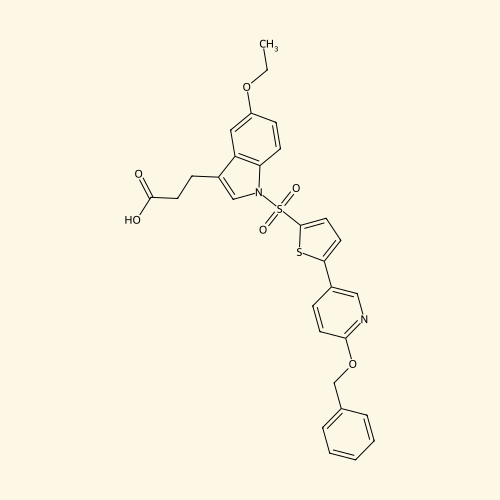 CCOc1ccc2c(c1)c(CCC(=O)O)cn2S(=O)(=O)c1ccc(-c2ccc(OCc3ccccc3)nc2)s1